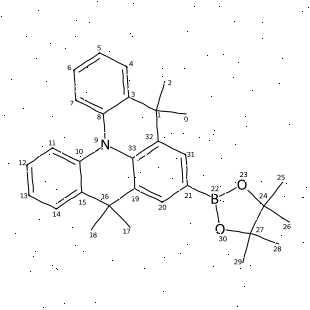 CC1(C)c2ccccc2N2c3ccccc3C(C)(C)c3cc(B4OC(C)(C)C(C)(C)O4)cc1c32